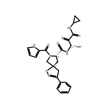 CCC[C@H](NC(=O)[C@@H]1C[C@]2(CC(c3ccccc3)=NO2)CN1C(=O)c1ccc[nH]1)C(=O)C(=O)NC1CC1